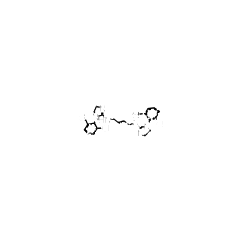 Clc1cccc(Cl)c1N1CCN=C1NCC=CCNC1=NCCN1c1c(Cl)cccc1Cl